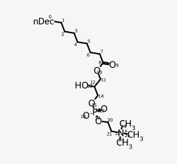 CCCCCCCCCCCCCCCCCC(=O)OCC(O)COP(=O)([O-])OCC[N+](C)(C)C